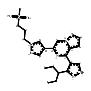 CCC(CC)c1n[nH]cc1-c1nc(-c2cnn(CCCS(C)(=O)=O)c2)cn2nccc12